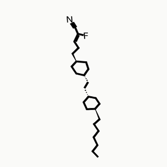 CCCCCCC[C@H]1CC[C@H](CC[C@H]2CC[C@H](CC/C=C(\F)C#N)CC2)CC1